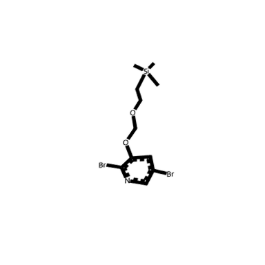 C[Si](C)(C)CCOCOc1cc(Br)cnc1Br